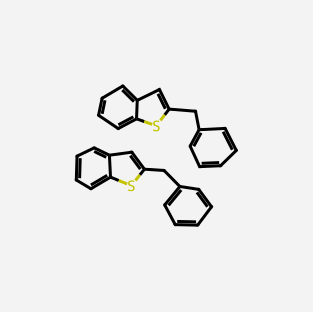 c1ccc(Cc2cc3ccccc3s2)cc1.c1ccc(Cc2cc3ccccc3s2)cc1